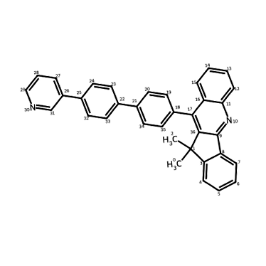 CC1(C)c2ccccc2-c2nc3ccccc3c(-c3ccc(-c4ccc(-c5cccnc5)cc4)cc3)c21